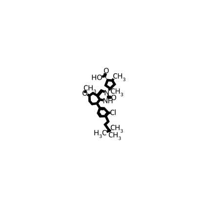 COC1CCC(c2ccc(CCC(C)(C)C)c(Cl)c2)C2NC(=O)N(C3(C)CC(C)[C@@H](C(=O)O)C3)C=C2C1